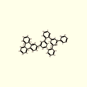 c1ccc(-c2cc(-c3ccccc3-c3cccc(-c4ccc5c6ccccc6c6ccccc6c5c4)c3)cc(-c3ccccc3)n2)cc1